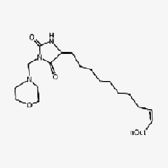 CCCCCCCC/C=C\CCCCCCCCC1NC(=O)N(CN2CCOCC2)C1=O